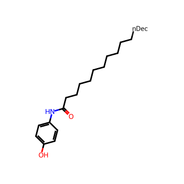 CCCCCCCCCCCCCCCCCCCCC(=O)Nc1ccc(O)cc1